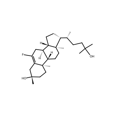 C[C@H](CCC(C)(C)O)[C@H]1CC[C@H]2[C@@H]3CC(F)=C4C[C@@](C)(O)CC[C@]4(C)[C@H]3CC[C@]12C